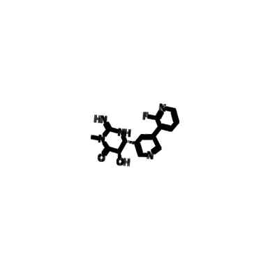 CN1C(=N)N[C@H](c2cncc(-c3cccnc3F)c2)[C@@H](O)C1=O